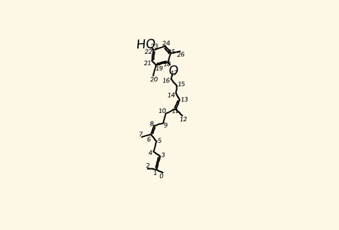 CC(C)=CCCC(C)=CCCC(C)=CCCCOc1c(C)cc(O)cc1C